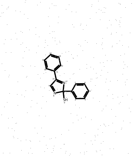 SC1(c2ccccc2)N=CC(c2ccccc2)=N1